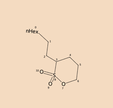 CCCCCCCCC1CCCOS1(=O)=O